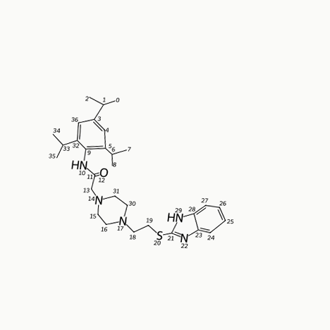 CC(C)c1cc(C(C)C)c(NC(=O)CN2CCN(CCSc3nc4ccccc4[nH]3)CC2)c(C(C)C)c1